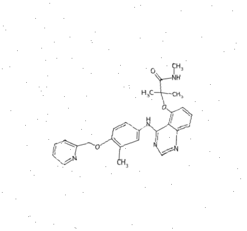 CNC(=O)C(C)(C)Oc1cccc2ncnc(Nc3ccc(OCc4ccccn4)c(C)c3)c12